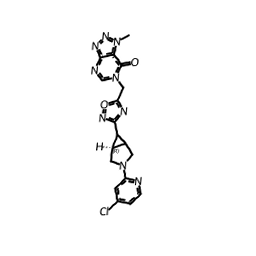 Cn1nnc2ncn(Cc3nc(C4C5CN(c6cc(Cl)ccn6)C[C@H]54)no3)c(=O)c21